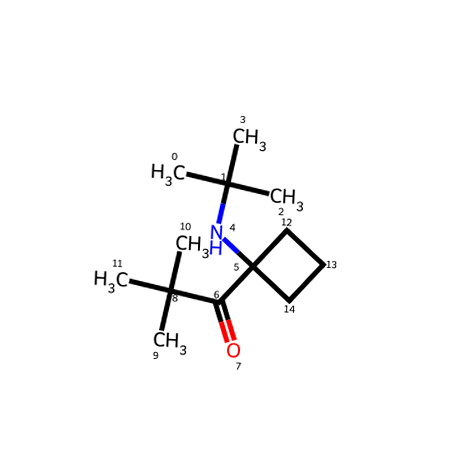 CC(C)(C)NC1(C(=O)C(C)(C)C)CCC1